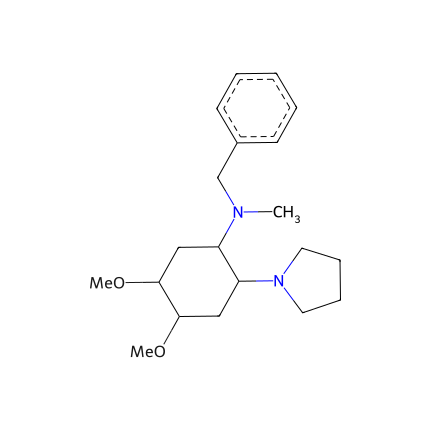 COC1CC(N(C)Cc2ccccc2)C(N2CCCC2)CC1OC